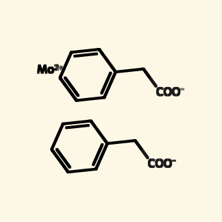 O=C([O-])Cc1ccccc1.O=C([O-])Cc1ccccc1.[Mo+2]